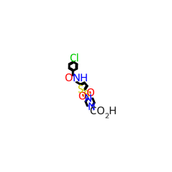 O=C(NCc1ccc(S(=O)(=O)N2CCN(C(=O)O)CC2)s1)c1ccc(Cl)cc1